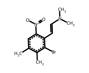 Cc1cc([N+](=O)[O-])c(/C=C/N(C)C)c(Br)c1C